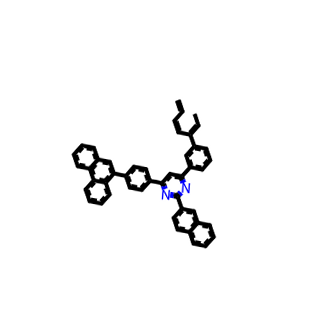 C=C/C=C\C(=C/C)c1cccc(-c2cc(-c3ccc(-c4cc5ccccc5c5ccccc45)cc3)nc(-c3ccc4ccccc4c3)n2)c1